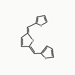 C(c1cccs1)=c1ccc(=Cc2cccs2)s1